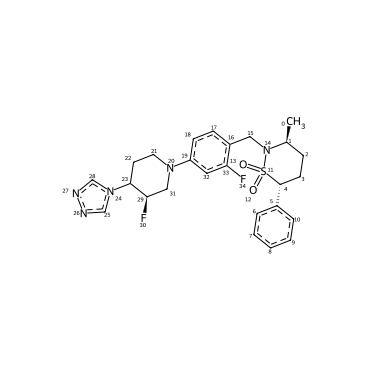 C[C@H]1CC[C@H](c2ccccc2)S(=O)(=O)N1Cc1ccc(N2CCC(n3cnnc3)[C@H](F)C2)cc1F